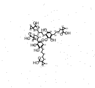 O=C(O)C1(CCCCCc2cc(OOc3c(O)c(CCCCC4(C(=O)O)CC4)cc(O)c3CCCCCC3(C(=O)O)CC3)c(CCCCC3(C(=O)O)CC3)c(O)c2O)CC1